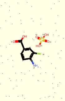 Nc1ccc(C(=O)O)cc1F.O=S(=O)(O)O